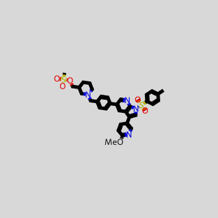 COc1ccc(-c2cn(S(=O)(=O)c3ccc(C)cc3)c3ncc(-c4ccc(CN5CCCC(COS(C)(=O)=O)C5)cc4)cc23)cn1